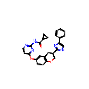 O=C(Nc1nccc(Oc2ccc3c(c2)CC(c2nc(-c4ccccc4)c[nH]2)CO3)n1)C1CC1